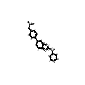 CN(C)Cc1ccc(-c2ccc3oc(Nc4ccccc4)nc3c2)cc1